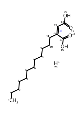 CCCCCCCCCCCC/C(=C/C(=O)O)C(=O)O.[H+]